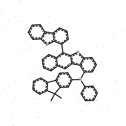 CC1(C)c2ccccc2-c2ccc(N(c3ccccc3)c3cccc4oc5c(-c6cccc7c6sc6ccccc67)c6ccccc6cc5c34)cc21